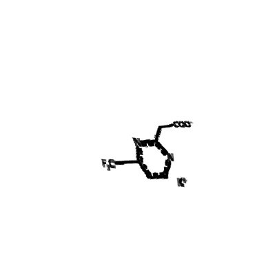 O=C([O-])Cc1nccc(C(F)(F)F)n1.[K+]